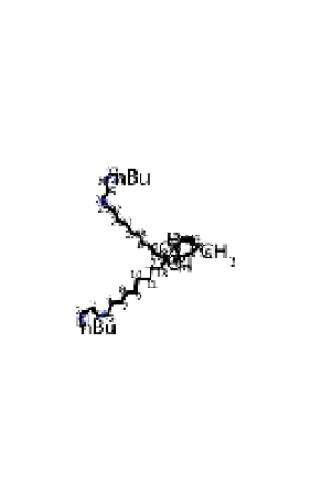 CCCC/C=C\C/C=C\CCCCCCCCC1(CCCCCCCC/C=C\C/C=C\CCCC)O[C@@H]2C3CC(C[C@H]3C)[C@@H]2O1